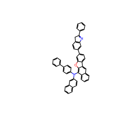 c1ccc(C2=Nc3cc(-c4ccc5c(c4)oc4c(N(c6ccc(-c7ccccc7)cc6)c6ccc7ccccc7c6)c6ccccc6cc45)ccc3C2)cc1